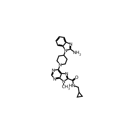 Cn1c(C(=O)NCC2CC2)nc2c(N3CCC(n4c(N)nc5ccccc54)CC3)ncnc21